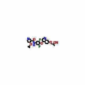 C[C@H](O)COc1ccc2c(Oc3c(F)cc(NC(=O)c4cnccc4OC4CC4)cc3F)ccnc2c1